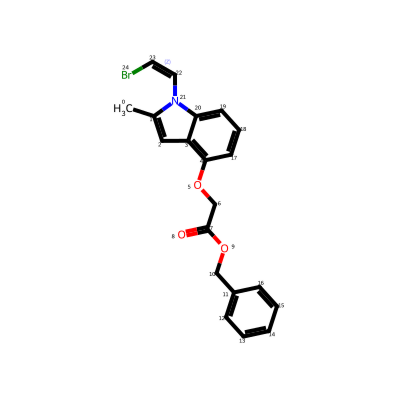 Cc1cc2c(OCC(=O)OCc3ccccc3)cccc2n1/C=C\Br